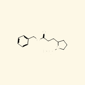 O=C(CCC1CCCN1C(=O)O)OCc1ccccc1